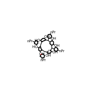 CCCc1ccc(C2c3cc(c(O)cc3O)C(c3ccc(CCC)cc3)c3cc(c(O)cc3O)[C@H](c3ccc(CCC)cc3)c3cc(c(O)cc3O)[C@H](c3ccc(CCC)cc3)c3cc2c(O)cc3O)cc1